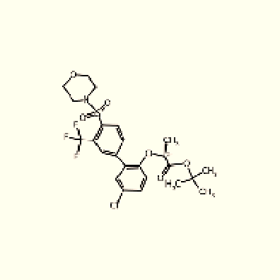 C[C@H](Oc1ccc(Cl)cc1-c1ccc(S(=O)(=O)N2CCOCC2)c(C(F)(F)F)c1)C(=O)OC(C)(C)C